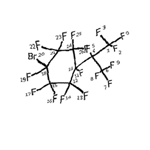 FC(F)(F)C(F)(C(F)(F)F)C1(F)C(F)(F)C(F)(F)C(F)(Br)C(F)(F)C1(F)F